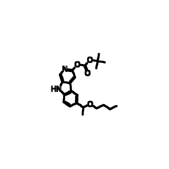 CCCCOC(C)c1ccc2[nH]c3cnc(OC(=O)OC(C)(C)C)cc3c2c1